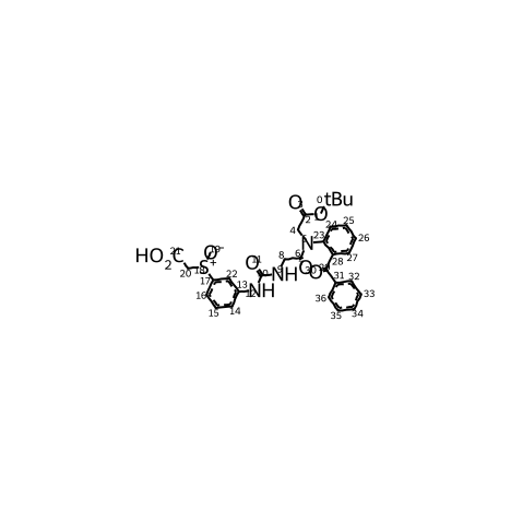 CC(C)(C)OC(=O)CN(C(=O)CNC(=O)Nc1cccc([S+]([O-])CC(=O)O)c1)c1ccccc1C(=O)c1ccccc1